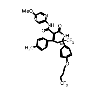 COc1cnc(NC(=O)C2=C(c3ccc(C)cc3)C[C@](c3ccc(OCCCC(F)(F)F)cc3)(C(F)(F)F)NC2=O)cn1